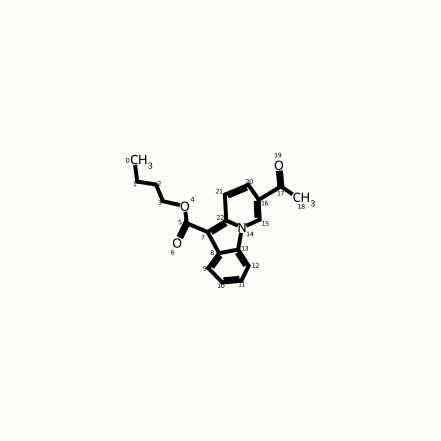 CCCCOC(=O)c1c2ccccc2n2cc(C(C)=O)ccc12